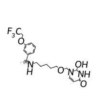 C[C@@H](NCCCCCOCN1C=CC(=O)NC1O)c1cccc(OCC(F)(F)F)c1